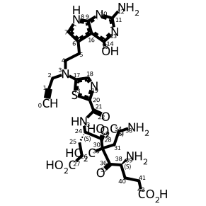 C#CCN(CCc1c[nH]c2nc(N)nc(O)c12)c1cnc(C(=O)N[C@@H](CCC(=O)O)C(=O)C(C[C@H](N)C(=O)O)(C(=O)O)C(=O)[C@@H](N)CCC(=O)O)s1